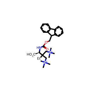 CCC(C[N+](C)(C)C)(C[N+](C)(C)C)[C@H](NC(=O)OCC1c2ccccc2-c2ccccc21)C(=O)O